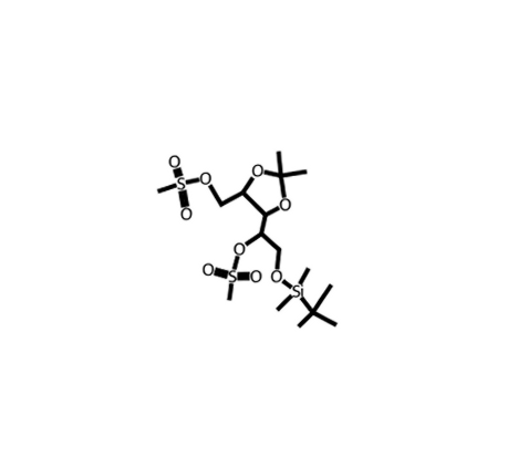 CC1(C)OC(COS(C)(=O)=O)C(C(CO[Si](C)(C)C(C)(C)C)OS(C)(=O)=O)O1